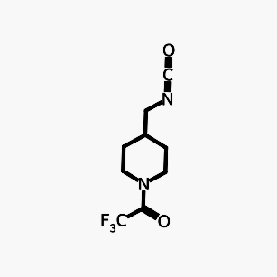 O=C=NCC1CCN(C(=O)C(F)(F)F)CC1